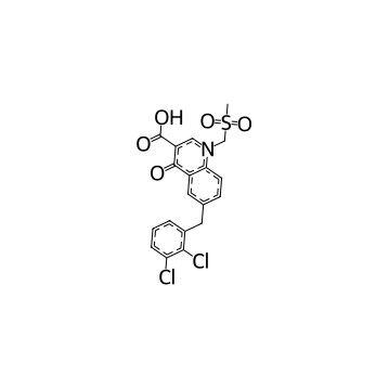 CS(=O)(=O)Cn1cc(C(=O)O)c(=O)c2cc(Cc3cccc(Cl)c3Cl)ccc21